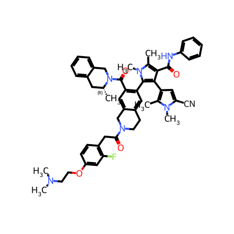 Cc1c(-c2c(C(=O)Nc3ccccc3)c(C)n(C)c2-c2cc3c(cc2C(=O)N2Cc4ccccc4C[C@H]2C)CN(C(=O)Cc2ccc(OCCN(C)C)cc2F)CC3)cc(C#N)n1C